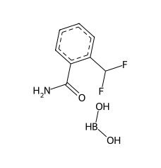 NC(=O)c1ccccc1C(F)F.OBO